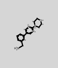 NCc1cccc(-c2cnc(N3CCOCC3)nc2)c1